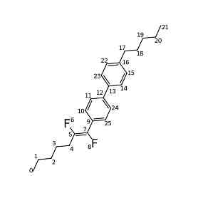 CCCCCC(F)=C(F)c1ccc(-c2ccc(CCCCC)cc2)cc1